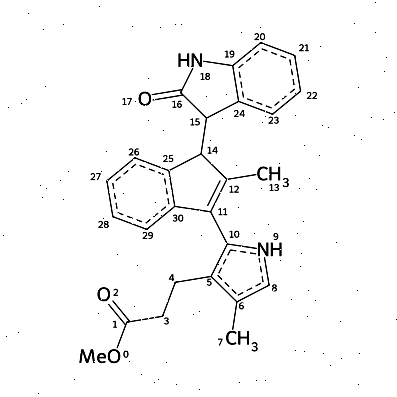 COC(=O)CCc1c(C)c[nH]c1C1=C(C)C(C2C(=O)Nc3ccccc32)c2ccccc21